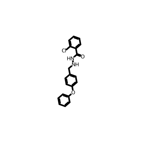 O=C(NNCc1ccc(Oc2ccccc2)cc1)c1ccccc1Cl